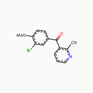 COc1ccc(C(=O)c2cccnc2C#N)cc1Br